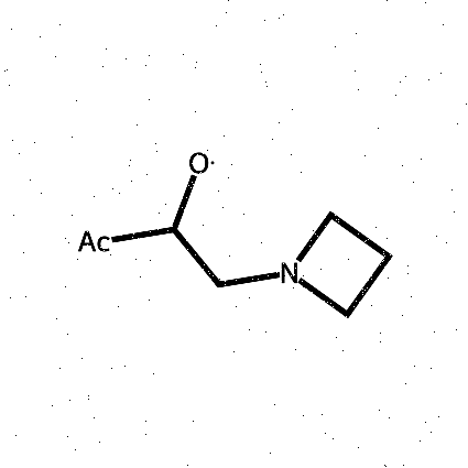 CC(=O)C([O])CN1CCC1